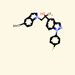 COc1ccc2c(ccn2CC(O)(c2ccc3c(cnn3-c3ccc(F)cc3)c2)C(F)(F)F)c1